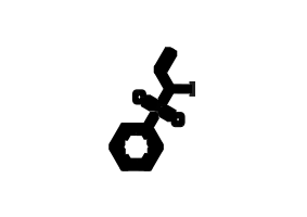 C=CC(I)S(=O)(=O)c1ccccc1